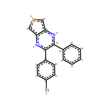 CCc1ccc(-c2nc3cscc3nc2-c2ccccc2)cc1